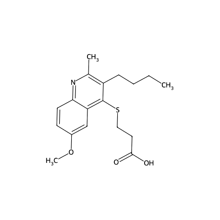 CCCCc1c(C)nc2ccc(OC)cc2c1SCCC(=O)O